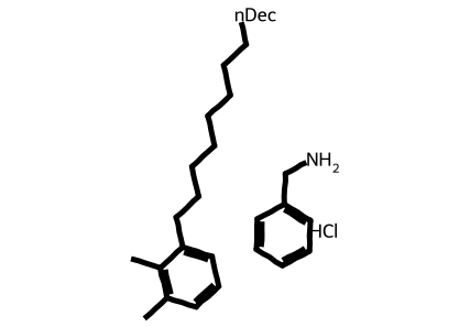 CCCCCCCCCCCCCCCCCCc1cccc(C)c1C.Cl.NCc1ccccc1